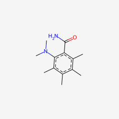 Cc1c(C)c(C)c(N(C)C)c(C(N)=O)c1C